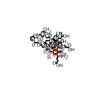 CSC[C@H](NC(=O)CNC(=O)[C@H](CC(C)C)NC(=O)[C@@H]1CCCN1C(=O)COCCNC(=O)[C@H](Cc1ccc(C(C)=O)cc1)NC(=O)[C@@H](CCC(=O)O)NC(=O)[C@@H](CCC(=O)O)NC(=O)[C@@H](CCC(=O)O)NC(=O)[C@@H](CCC(=O)O)NC(=O)[C@H](N)CCC(=O)O)C(=O)N[C@@H](C)C(=O)NCC(C)=O